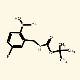 CC(C)(C)OC(=O)NCc1cc(F)ccc1B(O)O